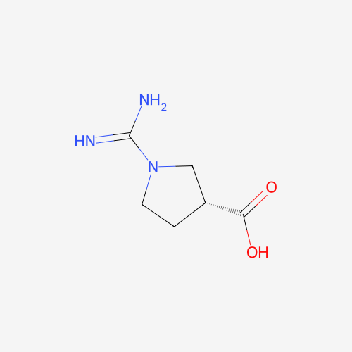 N=C(N)N1CC[C@@H](C(=O)O)C1